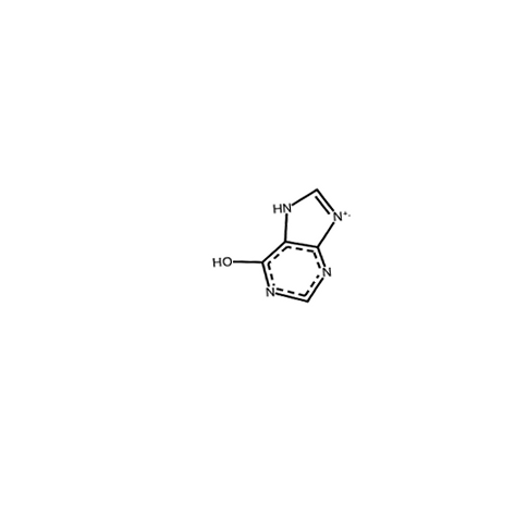 Oc1ncnc2c1NC=[N+]2